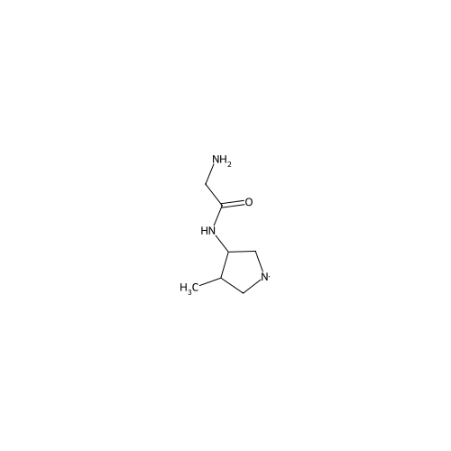 CC1C[N]CC1NC(=O)CN